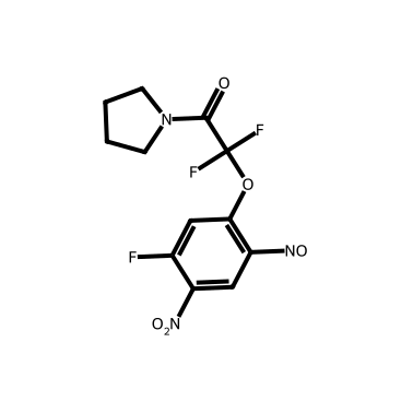 O=Nc1cc([N+](=O)[O-])c(F)cc1OC(F)(F)C(=O)N1CCCC1